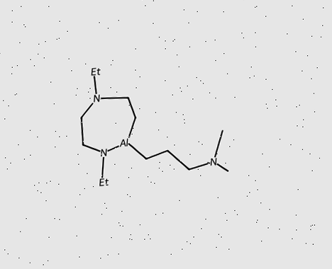 CCN1CC[N](CC)[Al]([CH2]CCN(C)C)[CH2]C1